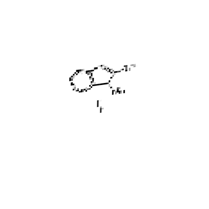 CCCCC1[C]([Ti+2])=Cc2ccccc21.[I-].[I-]